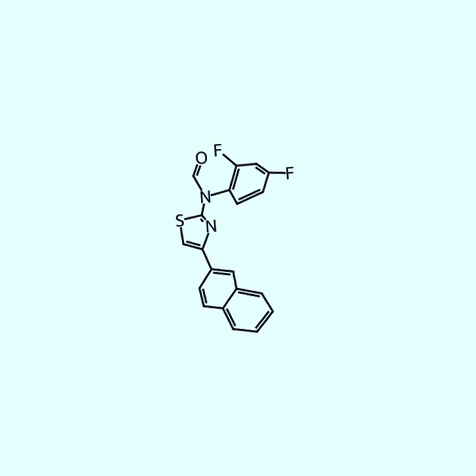 O=CN(c1nc(-c2ccc3ccccc3c2)cs1)c1ccc(F)cc1F